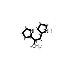 [CH2]C(CC1CCCN1)C1CCCN1